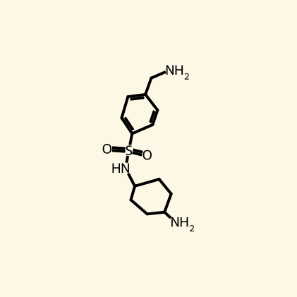 NCc1ccc(S(=O)(=O)NC2CCC(N)CC2)cc1